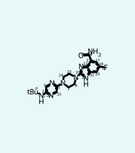 CC(C)(C)Nc1cnc(N2CCN(c3nc4c(C(N)=O)cc(F)cc4[nH]3)CC2)cn1